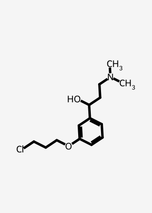 CN(C)CCC(O)c1cccc(OCCCCl)c1